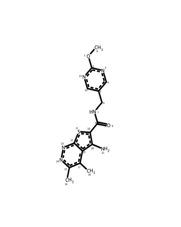 COc1ncc(CNC(=O)c2sc3nnc(C)c(C)c3c2N)cn1